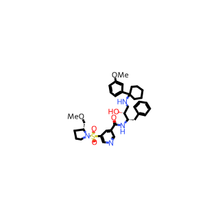 COC[C@H]1CCCN1S(=O)(=O)c1cncc(C(=O)N[C@@H](Cc2ccccc2)[C@H](O)CNC2(c3cccc(OC)c3)CCCCC2)c1